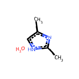 Cc1c[nH]c(C)n1.O